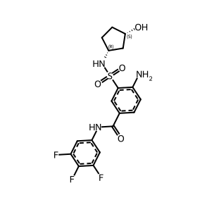 Nc1ccc(C(=O)Nc2cc(F)c(F)c(F)c2)cc1S(=O)(=O)N[C@@H]1CC[C@H](O)C1